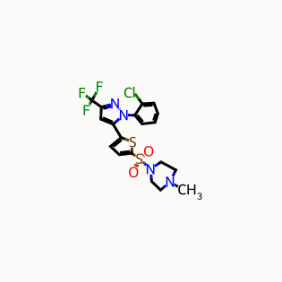 CN1CCN(S(=O)(=O)c2ccc(-c3cc(C(F)(F)F)nn3-c3ccccc3Cl)s2)CC1